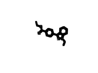 CCOC(=O)c1ccc(-c2nn(CC)c3ccccc23)cc1